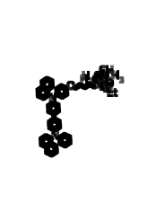 CC[Si](=O)C[Si](C)(CCCCCOc1ccc(N(c2ccc(-c3ccc(N(c4ccccc4)c4cccc5ccccc45)cc3)cc2)c2cccc3ccccc23)cc1)O[Si](C)(C)C